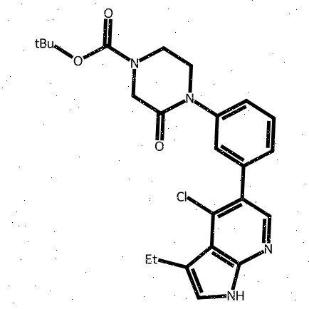 CCc1c[nH]c2ncc(-c3cccc(N4CCN(C(=O)OC(C)(C)C)CC4=O)c3)c(Cl)c12